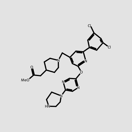 COC(=O)CC1CCN(Cc2cc(Oc3cnc(N4CCNCC4)cn3)nc(-c3cc(Cl)cc(Cl)c3)c2)CC1